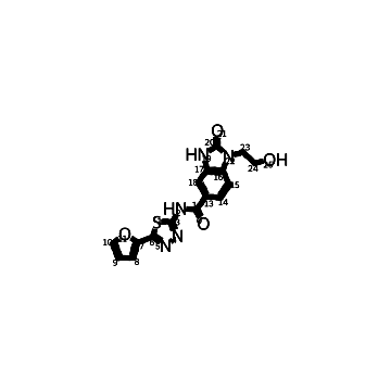 O=C(Nc1nnc(-c2ccco2)s1)c1ccc2c(c1)[nH]c(=O)n2CCO